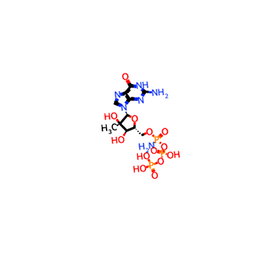 C[C@@]1(O)[C@H](O)[C@@H](COP(N)(=O)OP(=O)(O)OP(=O)(O)O)O[C@H]1n1cnc2c(=O)[nH]c(N)nc21